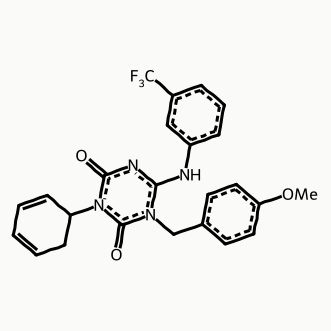 COc1ccc(Cn2c(Nc3cccc(C(F)(F)F)c3)nc(=O)n(C3C=CC=CC3)c2=O)cc1